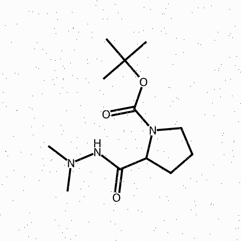 CN(C)NC(=O)C1CCCN1C(=O)OC(C)(C)C